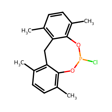 Cc1ccc(C)c2c1Cc1c(C)ccc(C)c1OP(Cl)O2